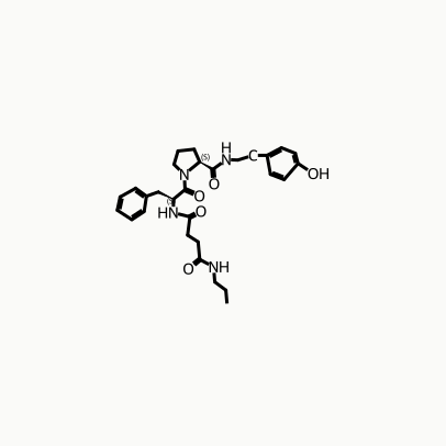 CCCNC(=O)CCC(=O)N[C@@H](Cc1ccccc1)C(=O)N1CCC[C@H]1C(=O)NCCc1ccc(O)cc1